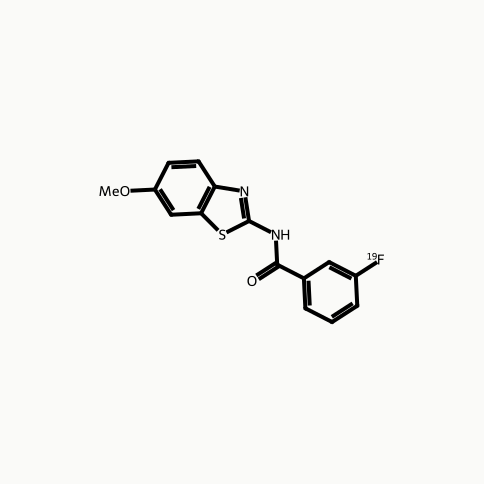 COc1ccc2nc(NC(=O)c3cccc([19F])c3)sc2c1